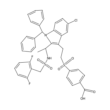 CC(NS(=O)(=O)Cc1c(F)cccc1F)c1c(CCS(=O)(=O)c2ccc(C(=O)O)cc2)c2cc(Cl)ccc2n1C(c1ccccc1)c1ccccc1